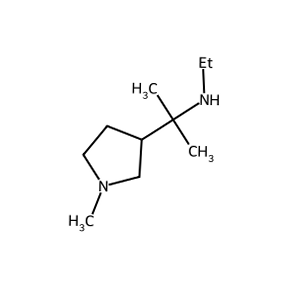 CCNC(C)(C)C1CCN(C)C1